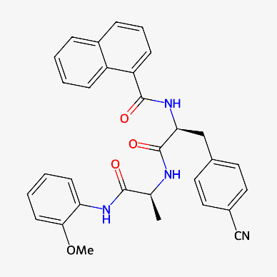 COc1ccccc1NC(=O)[C@H](C)NC(=O)[C@H](Cc1ccc(C#N)cc1)NC(=O)c1cccc2ccccc12